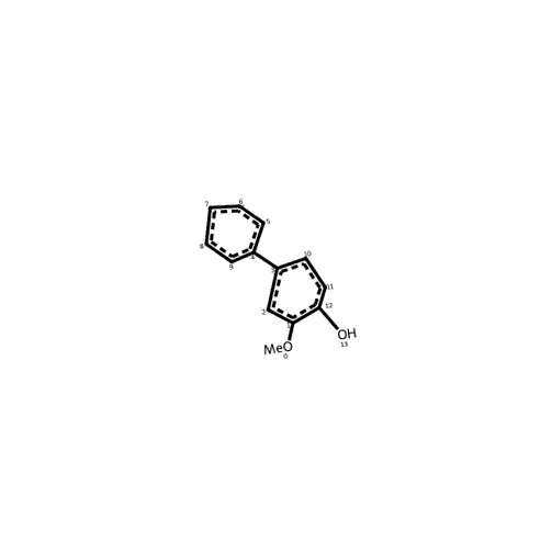 COc1cc(-c2c[c]ccc2)ccc1O